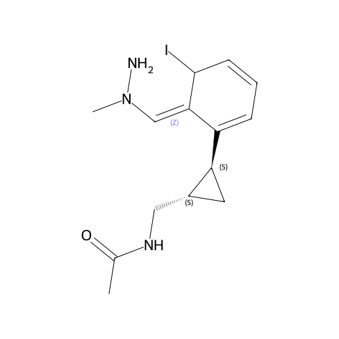 CC(=O)NC[C@H]1C[C@@H]1C1=CC=CC(I)/C1=C\N(C)N